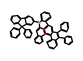 c1ccc(-c2c(-c3ccccc3)c3cc(-c4ccccc4N(c4ccc5c(c4)C(c4ccccc4)(c4ccccc4)c4ccccc4-5)c4ccc5ccccc5c4)ccc3c3ccccc23)cc1